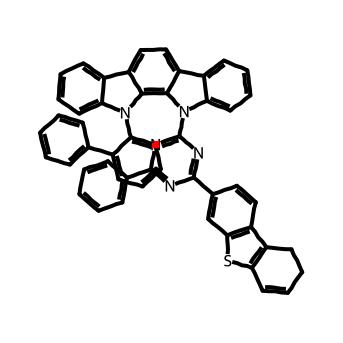 C1=Cc2sc3cc(-c4nc(-c5ccccc5)nc(-n5c6ccccc6c6ccc7c8ccccc8n(-c8ccccc8-c8ccccc8)c7c65)n4)ccc3c2CC1